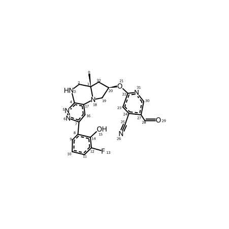 C[C@]12CNc3nnc(-c4cccc(F)c4O)cc3N1C[C@H](Oc1cc(C#N)c(C=O)cn1)C2